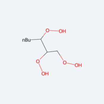 CCCCC(OO)C(COO)OO